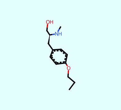 CCCOc1ccc(C[C@@H](CO)NC)cc1